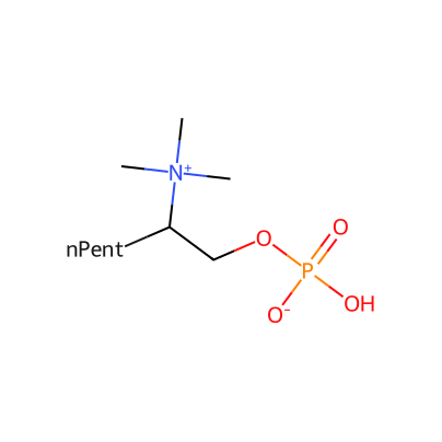 CCCCCC(COP(=O)([O-])O)[N+](C)(C)C